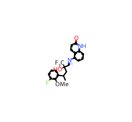 COc1c(F)cccc1C(C)CC(O)(/C=N/c1cccc2[nH]c(=O)ccc12)C(F)(F)F